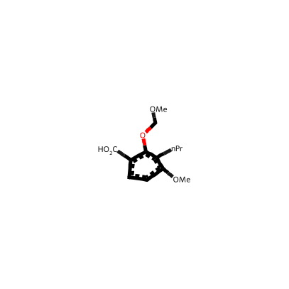 CCCc1c(OC)ccc(C(=O)O)c1OCOC